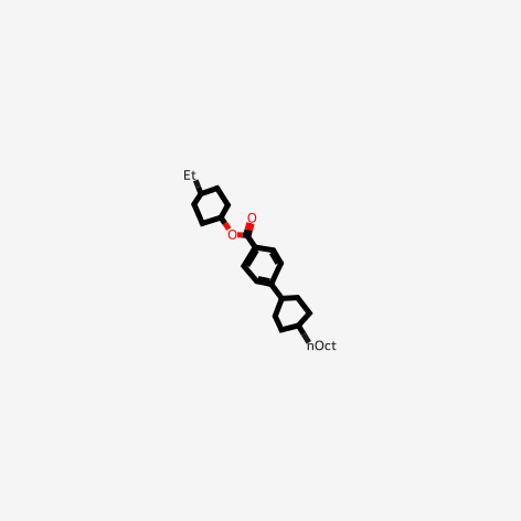 CCCCCCCCC1CCC(c2ccc(C(=O)OC3CCC(CC)CC3)cc2)CC1